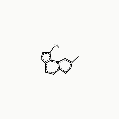 Cc1coc2ccc3ccc(I)cc3c12